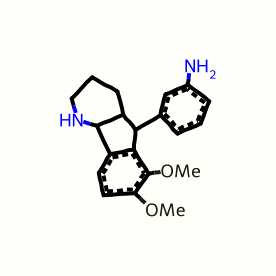 COc1ccc2c(c1OC)C(c1cccc(N)c1)C1CCCNC21